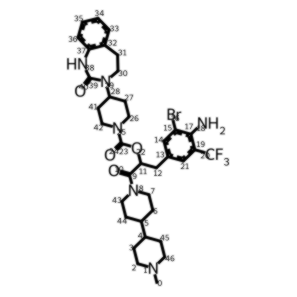 CN1CCC(C2CCN(C(=O)C(Cc3cc(Br)c(N)c(C(F)(F)F)c3)OC(=O)N3CCC(N4CCc5ccccc5NC4=O)CC3)CC2)CC1